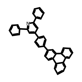 c1ccc(-c2cc(-c3ccc(-c4ccc5c6ccccc6c6ccccc6c5c4)cc3)cc(-c3ccccc3)n2)cc1